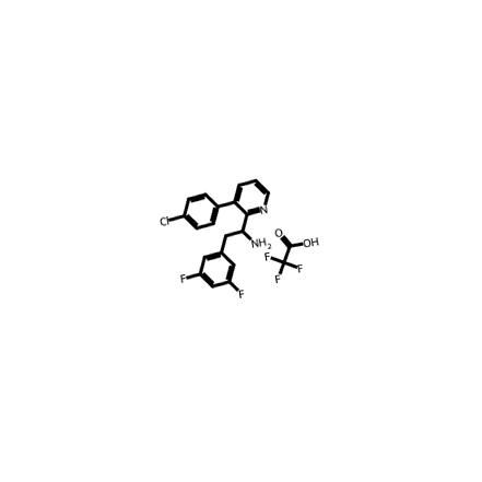 NC(Cc1cc(F)cc(F)c1)c1ncccc1-c1ccc(Cl)cc1.O=C(O)C(F)(F)F